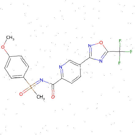 COc1ccc(S(C)(=O)=NC(=O)c2ccc(-c3noc(C(F)(F)F)n3)cn2)cc1